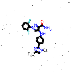 CCn1cc(C(F)(F)F)nc1-c1ccc(Nc2cn(-c3c(F)cccc3F)nc2C(N)=O)cc1